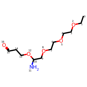 CCOCCOCCOCC(N)OCCC=O